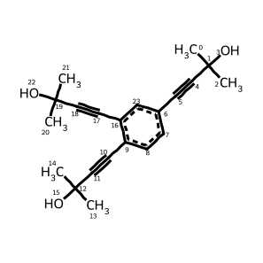 CC(C)(O)C#Cc1ccc(C#CC(C)(C)O)c(C#CC(C)(C)O)c1